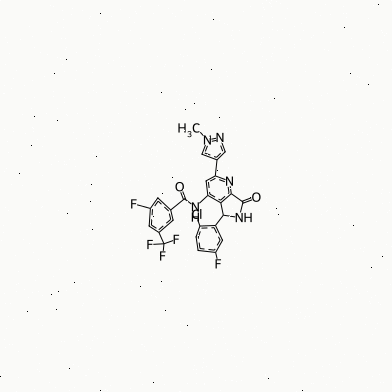 Cn1cc(-c2cc(NC(=O)c3cc(F)cc(C(F)(F)F)c3)c3c(n2)C(=O)NC3c2cc(F)ccc2Cl)cn1